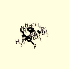 COc1cc(N(C)CCN(C)C)c([N+](=O)[O-])cc1Nc1nccc(-c2cn(C)c3cc(C#CSI)ccc23)n1